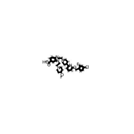 COC1CCN(CCn2c(CN3CCC(c4cccc(OCc5ccc(Cl)cc5F)n4)CC3)nc3ccc(C(=O)O)cc32)CC1